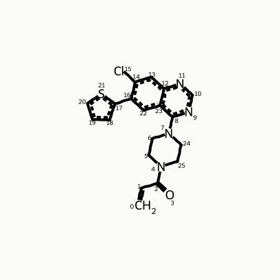 C=CC(=O)N1CCN(c2ncnc3cc(Cl)c(-c4cccs4)cc23)CC1